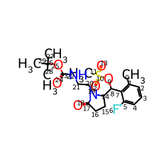 Cc1cccc(F)c1C(OS(C)(=O)=O)C1CCC(=O)N1CCNC(=O)OC(C)(C)C